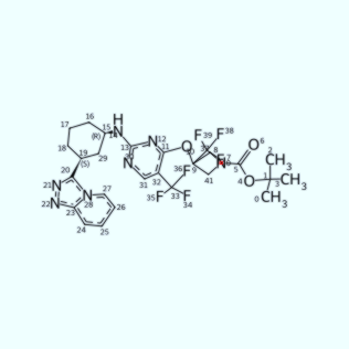 CC(C)(C)OC(=O)N1CC(Oc2nc(N[C@@H]3CCC[C@H](c4nnc5ccccn45)C3)ncc2C(F)(F)F)(C(F)(F)F)C1